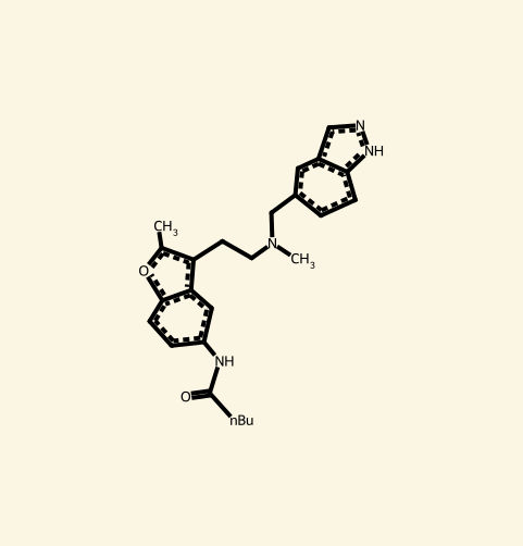 CCCCC(=O)Nc1ccc2oc(C)c(CCN(C)Cc3ccc4[nH]ncc4c3)c2c1